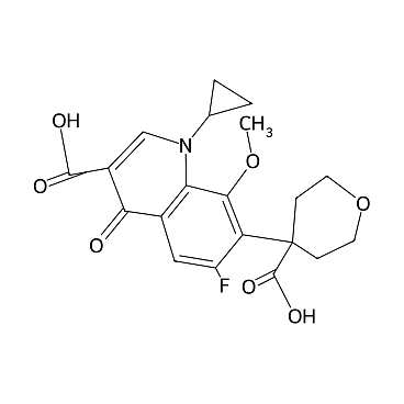 COc1c(C2(C(=O)O)CCOCC2)c(F)cc2c(=O)c(C(=O)O)cn(C3CC3)c12